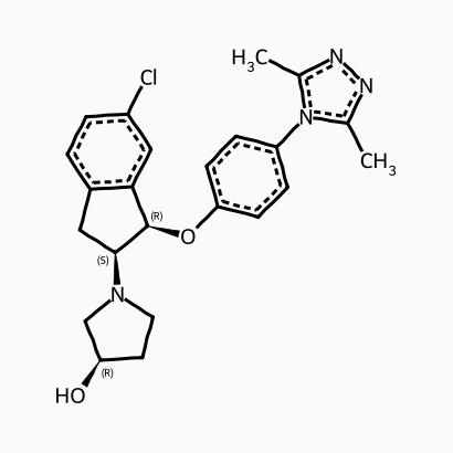 Cc1nnc(C)n1-c1ccc(O[C@@H]2c3cc(Cl)ccc3C[C@@H]2N2CC[C@@H](O)C2)cc1